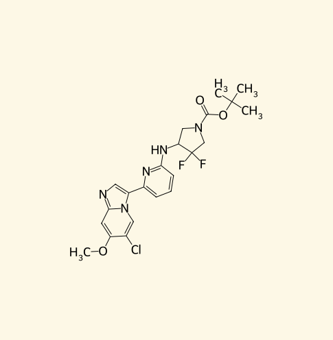 COc1cc2ncc(-c3cccc(NC4CN(C(=O)OC(C)(C)C)CC4(F)F)n3)n2cc1Cl